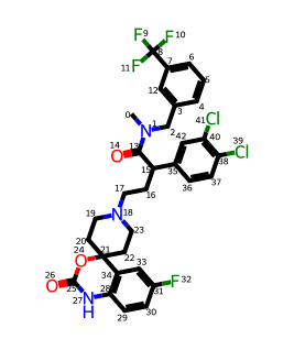 CN(Cc1cccc(C(F)(F)F)c1)C(=O)C(CCN1CCC2(CC1)OC(=O)Nc1ccc(F)cc12)c1ccc(Cl)c(Cl)c1